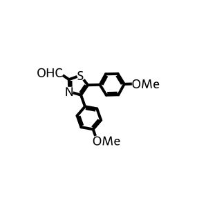 COc1ccc(-c2nc(C=O)sc2-c2ccc(OC)cc2)cc1